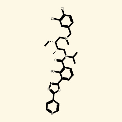 CC[C@H](CN(C)Cc1ccc(Cl)c(Cl)c1)[C@@H](C)CN(C(=O)c1cccc(-c2nnc(-c3ccncc3)o2)c1O)C(C)C